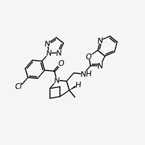 C[C@@H]1C2CC(C2)N(C(=O)c2cc(Cl)ccc2-n2nccn2)C1CNc1nc2cccnc2o1